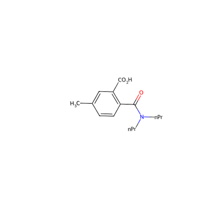 CCCN(CCC)C(=O)c1ccc(C)cc1C(=O)O